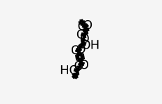 CC(C)(C)CC(O)COC(=O)c1ccc(C(=O)OCC(O)COC(=O)CC(C)(C)C(=O)OC(C)(C)C)cc1